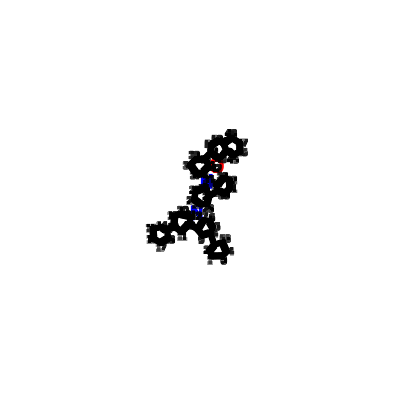 c1ccc(-c2ccc3c(c2)c2cc(-c4ccccc4)ccc2n3-c2ccc3c(c2)c2ccccc2n3-c2cccc3c2oc2c4ccccc4ccc32)cc1